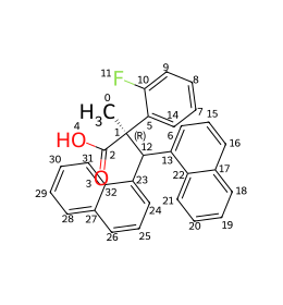 C[C@](C(=O)O)(c1ccccc1F)C(c1cccc2ccccc12)c1cccc2ccccc12